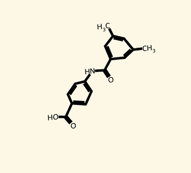 Cc1cc(C)cc(C(=O)Nc2ccc(C(=O)O)cc2)c1